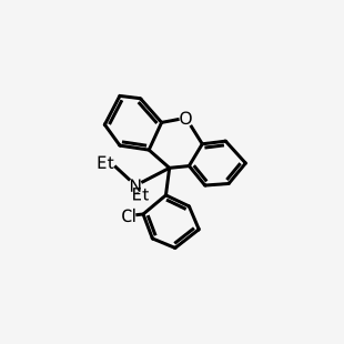 CCN(CC)C1(c2ccccc2Cl)c2ccccc2Oc2ccccc21